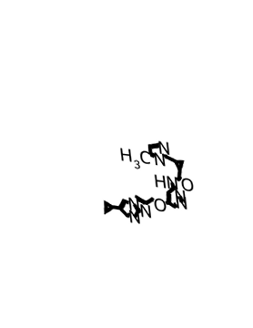 Cc1ccnc(C2CC2C(=O)Nc2cc(OCc3cn4cc(C5CC5)cnc4n3)cnn2)n1